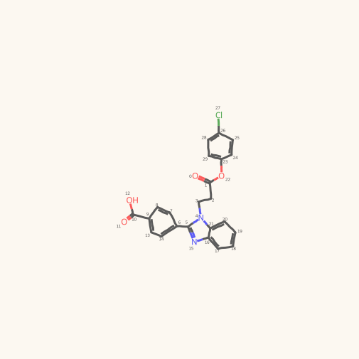 O=C(CCn1c(-c2ccc(C(=O)O)cc2)nc2ccccc21)Oc1ccc(Cl)cc1